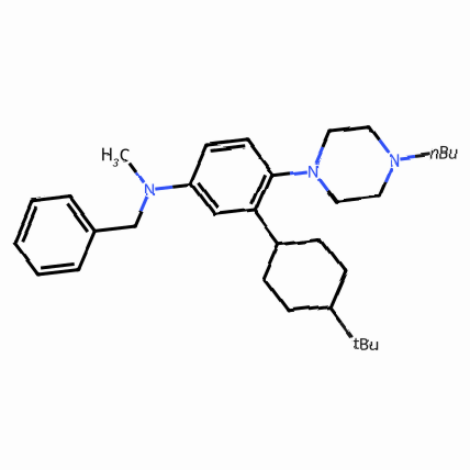 CCCCN1CCN(c2ccc(N(C)Cc3ccccc3)cc2C2CCC(C(C)(C)C)CC2)CC1